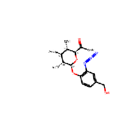 COC(=O)[C@H]1O[C@@H](Oc2ccc(CO)cc2N=[N+]=[N-])[C@H](OC(C)=O)[C@@H](OC(C)=O)[C@@H]1OC(C)=O